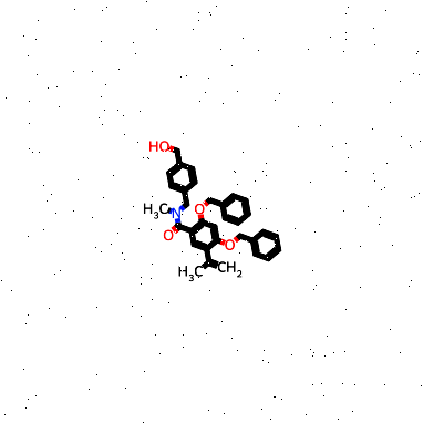 C=C(C)c1cc(C(=O)N(C)Cc2ccc(CO)cc2)c(OCc2ccccc2)cc1OCc1ccccc1